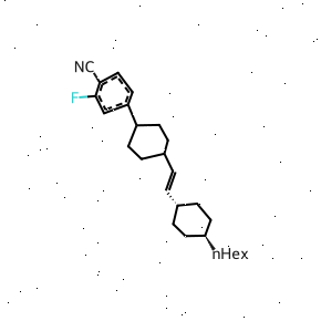 CCCCCC[C@H]1CC[C@H](/C=C/C2CCC(c3ccc(C#N)c(F)c3)CC2)CC1